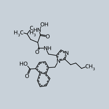 CCCCc1ncc(CNC(=O)C(CC(C)C)C(=O)NO)n1Cc1ccc(C(=O)O)c2ccccc12